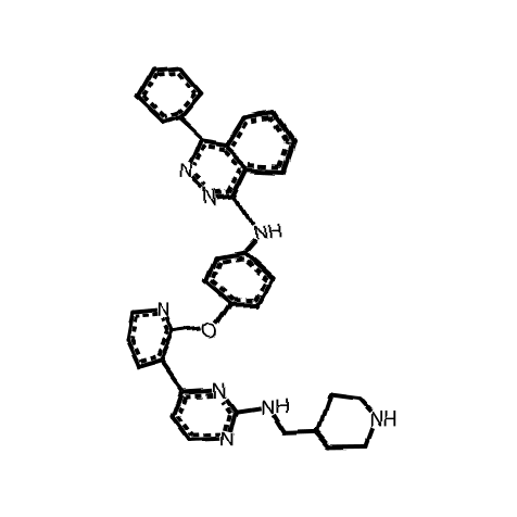 c1ccc(-c2nnc(Nc3ccc(Oc4ncccc4-c4ccnc(NCC5CCNCC5)n4)cc3)c3ccccc23)cc1